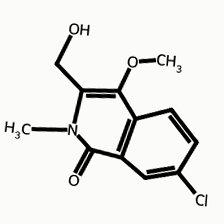 COc1c(CO)n(C)c(=O)c2cc(Cl)ccc12